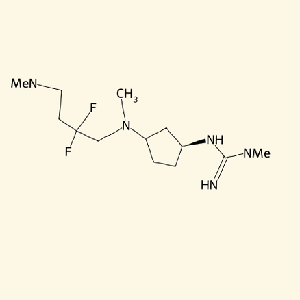 CNCCC(F)(F)CN(C)C1CC[C@H](NC(=N)NC)C1